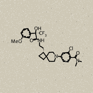 COc1cccc([C@@](O)(C(=O)NCC[C@H]2CCC23CCN(c2ccc(C(=O)N(C)C)c(Cl)c2)CC3)C(F)(F)F)c1